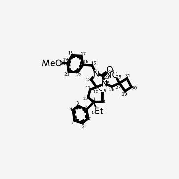 CC[C@]1(c2ccccc2)CC[C@]2(CC1)CN(Cc1ccc(OC)cc1)C(=O)N2CC1(C#N)CCC1